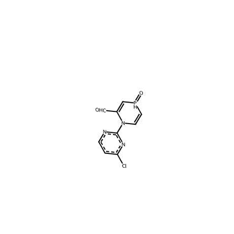 O=CC1=C[PH](=O)C=CN1c1nccc(Cl)n1